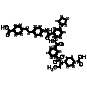 CCN([C@H]1CC[C@H](C(=O)O)CC1)S(=O)(=O)c1cccc(C(=O)Nc2ccc(N3CCCC3)cc2C(=O)Nc2ccc(CCc3ccc(C(=O)O)cc3)cc2)c1